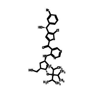 CC(C)[Si](O[C@H]1C[C@H](Nc2ncncc2C(=O)c2cc([C@H](O)c3cccc(Br)c3)c(Cl)s2)C[C@@H]1CO)(C(C)C)C(C)C